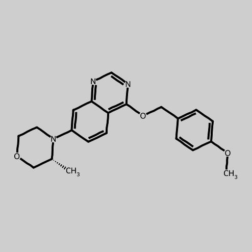 COc1ccc(COc2ncnc3cc(N4CCOC[C@H]4C)ccc23)cc1